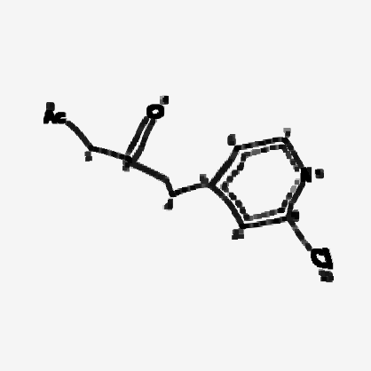 CC(=O)CC(=O)Cc1ccnc(Cl)c1